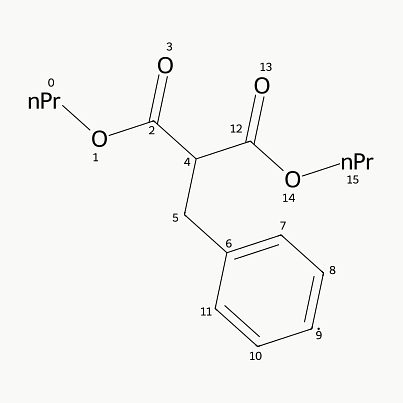 CCCOC(=O)C(Cc1cc[c]cc1)C(=O)OCCC